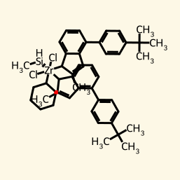 C[SiH]=[Zr]([Cl])([Cl])([CH]1CCCCC1)([CH]1C(C)=Cc2c(-c3ccc(C(C)(C)C)cc3)cccc21)[CH]1C(C)=Cc2c(-c3ccc(C(C)(C)C)cc3)cccc21